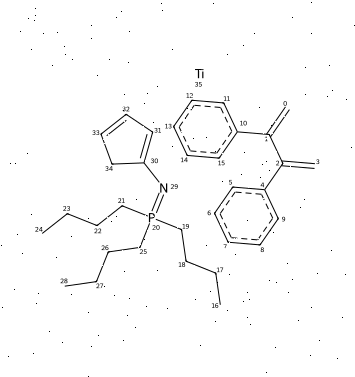 C=C(C(=C)c1ccccc1)c1ccccc1.CCCCP(CCCC)(CCCC)=NC1=CC=CC1.[Ti]